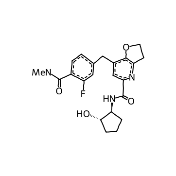 CNC(=O)c1ccc(Cc2cc(C(=O)N[C@H]3CCC[C@@H]3O)nc3c2OCC3)cc1F